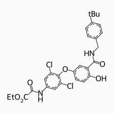 CCOC(=O)C(=O)Nc1cc(Cl)c(Oc2ccc(O)c(C(=O)NCc3ccc(C(C)(C)C)cc3)c2)c(Cl)c1